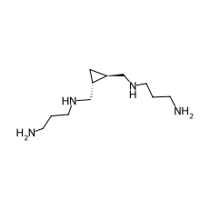 NCCCNC[C@@H]1C[C@H]1CNCCCN